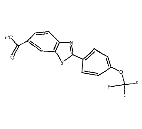 O=C(O)c1ccc2nc(-c3ccc(OC(F)(F)F)cc3)sc2c1